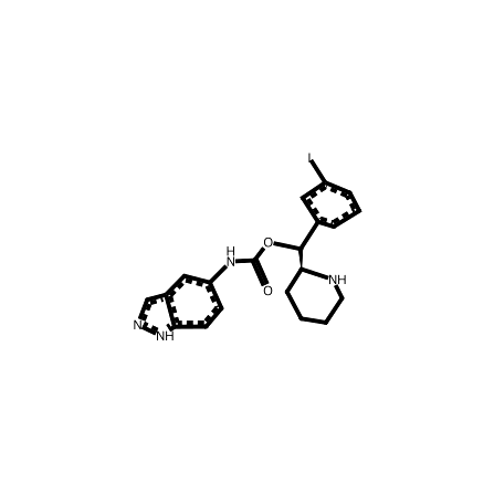 O=C(Nc1ccc2[nH]ncc2c1)OC(c1cccc(I)c1)[C@@H]1CCCCN1